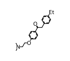 CCc1ccc(CC(=O)c2ccc(OCCN(C)C)cc2)cc1